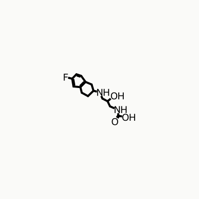 O=C(O)NCC(O)CNC1CCc2cc(F)ccc2C1